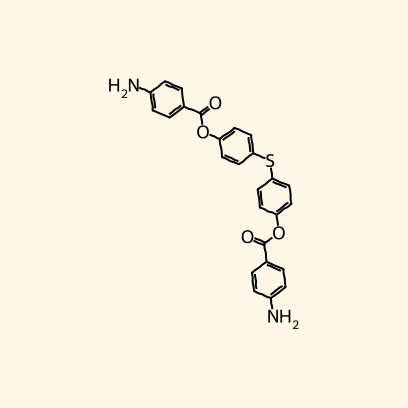 Nc1ccc(C(=O)Oc2ccc(Sc3ccc(OC(=O)c4ccc(N)cc4)cc3)cc2)cc1